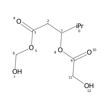 CC(C)C(CC(=O)OCO)OC(=O)CO